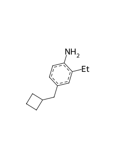 CCc1cc(CC2CCC2)ccc1N